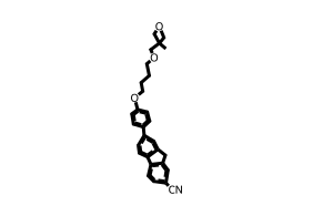 CC1(COCCCCOc2ccc(-c3ccc4c(c3)Cc3cc(C#N)ccc3-4)cc2)COC1